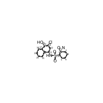 O=[N+]([O-])c1ccccc1S(=O)(=O)Nc1cc(Cl)c(O)c2ccccc12